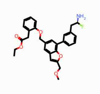 CCOC(=O)Cc1ccccc1OCc1cc(-c2cccc(C[C@@H](N)F)c2)c2oc(COC)cc2c1